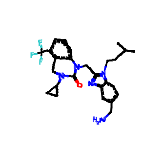 CC(C)CCn1c(CN2C(=O)N(C3CC3)Cc3c2cccc3C(F)(F)F)nc2cc(CN)ccc21